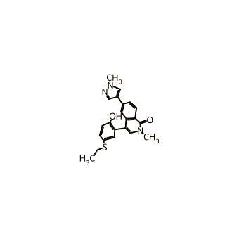 CCSc1ccc(O)c(-c2cn(C)c(=O)c3ccc(-c4cnn(C)c4)cc23)c1